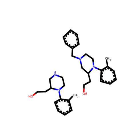 Cc1ccccc1N1CCN(Cc2ccccc2)CC1CCO.Cc1ccccc1N1CCNCC1CCO